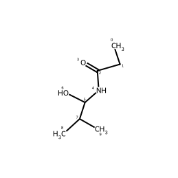 CCC(=O)NC(O)C(C)C